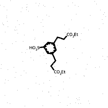 CCOC(=O)CCc1cc(CCC(=O)OCC)cc(S(=O)(=O)O)c1